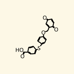 O=C1C=CC(=O)C(COc2ccc(Sc3ccc(C(=O)O)cc3)cc2)=C1